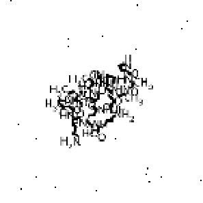 CC(C)C[C@H](NC(=O)[C@@H]1CCCN1C(=O)[C@@H](NC(=O)[C@@H]1CCCN1C(=O)[C@H](CCC(=O)O)NC(=O)[C@H](C)NC(=O)[C@H](C)NC(=O)[C@@H]1CCCN1)C(C)C)C(=O)N[C@H](C(=O)N[C@@H](CCCCN)C(=O)N[C@@H](CCC(N)=O)C(=O)N[C@@H](CCCCN)C(=O)O)C(C)C